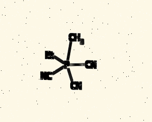 CCP(C)(C#N)(C#N)C#N